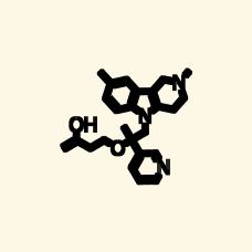 C=C(O)CCOC(C)(Cn1c2c(c3cc(C)ccc31)CN(C)CC2)c1cccnc1